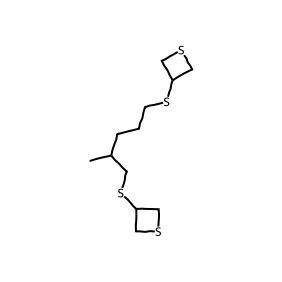 CC(CCCSC1CSC1)CSC1CSC1